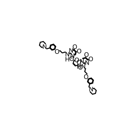 COc1cn(OC(=O)/C=C\C(=O)On2cc(OC)c(=O)nc2NCCCOc2cccc(CN3CCCCC3)c2)c(NCCCOc2cccc(CN3CCCCC3)c2)nc1=O